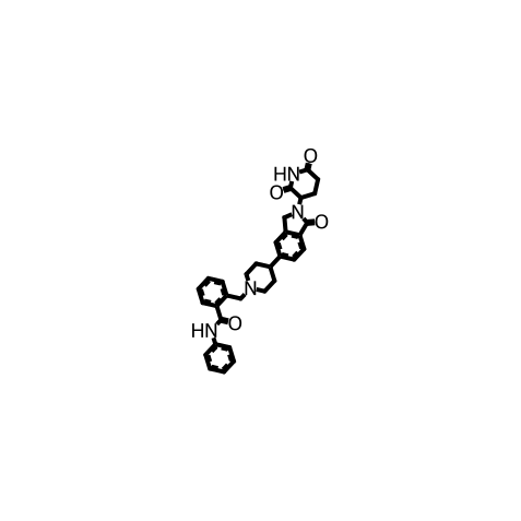 O=C1CCC(N2Cc3cc(C4CCN(Cc5ccccc5C(=O)Nc5ccccc5)CC4)ccc3C2=O)C(=O)N1